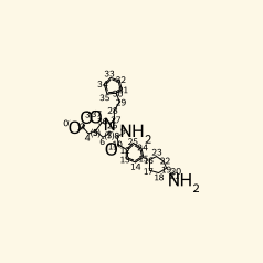 COC(=O)C[C@@H]1C[C@@H](C(N)C(=O)c2ccc([C@H]3CC[C@@H](CN)CC3)cc2)N(CCCc2ccccc2)C1=O